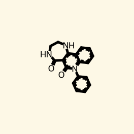 O=C1NCCNc2c1c(=O)n(-c1ccccc1)c1ccccc21